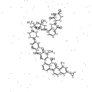 Cn1cc(-c2cccc(-n3ccc4cc(C5CC5)cc(F)c4c3=O)c2CO)nc(Nc2ccc(N3CCN(CC(C)(C)OC(C)(C)CNc4cccc5c4CN(C4CCC(=O)NC4=O)C5=O)CC3)cn2)c1=O